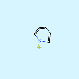 SN1C=C=CC=C1